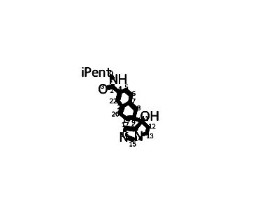 CCCC(C)NC(=O)c1ccc2cc(C3(O)CCn4cncc43)ccc2c1